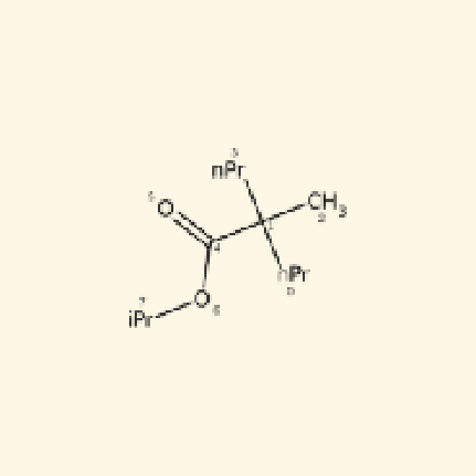 CCCC(C)(CCC)C(=O)OC(C)C